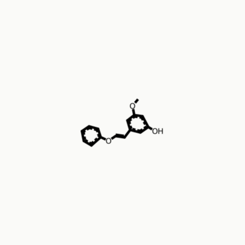 COc1cc(O)cc(/C=C/Oc2ccccc2)c1